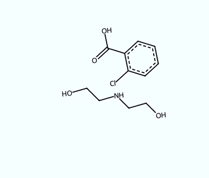 O=C(O)c1ccccc1Cl.OCCNCCO